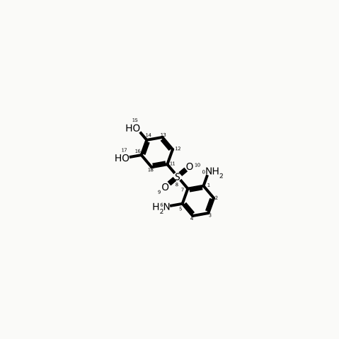 Nc1cccc(N)c1S(=O)(=O)c1ccc(O)c(O)c1